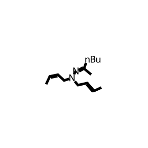 C/C=C\CN(C/C=C/C)N=C(C)CCCC